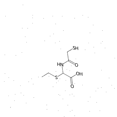 CCSC(NC(=O)CS)C(=O)O